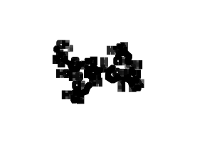 CCn1nnc([C@H]2O[C@@H](n3cnc4c(N[C@H]5CC[C@H](Nc6[nH]c(NCCc7nc[nH]c7C)nc7ncnc6-7)CC5)nc(NCCc5nc[nH]c5C)nc43)[C@H](O)[C@@H]2O)n1